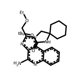 CCOCc1nc2c(N)nc3ccccc3c2n1CC1(NC(=O)OC(C)(C)C)CCCCC1